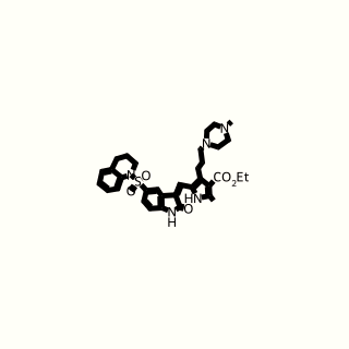 CCOC(=O)c1c(C)[nH]c(/C=C2\C(=O)Nc3ccc(S(=O)(=O)N4CCCc5ccccc54)cc32)c1CCCN1CCN(C)CC1